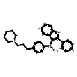 CN(c1ccc(OCCN2CCCCC2)cc1)c1c(-c2ccccc2)sc2ccccc12